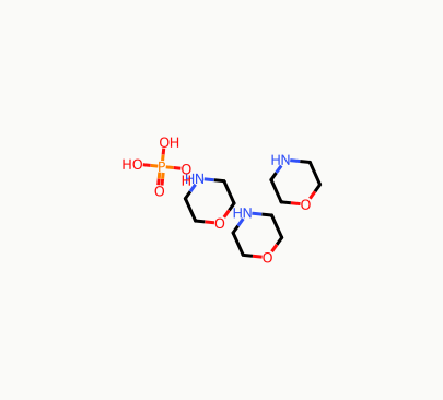 C1COCCN1.C1COCCN1.C1COCCN1.O=P(O)(O)O